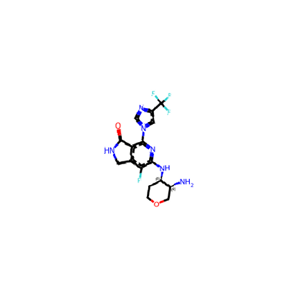 N[C@H]1COCC[C@H]1Nc1nc(-n2cnc(C(F)(F)F)c2)c2c(c1F)CNC2=O